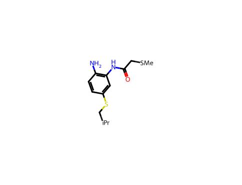 CSCC(=O)Nc1cc(SCC(C)C)ccc1N